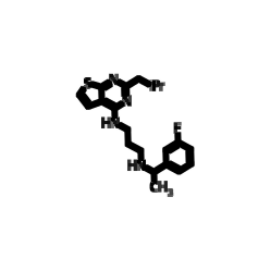 CC(C)Cc1nc(NCCCNC(C)c2cccc(F)c2)c2ccsc2n1